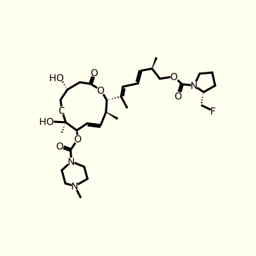 C/C(=C\C=C\[C@@H](C)COC(=O)N1CCC[C@@H]1CF)[C@H]1OC(=O)C[C@@H](O)CC[C@](C)(O)[C@H](OC(=O)N2CCN(C)CC2)/C=C/[C@@H]1C